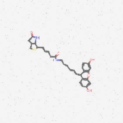 O=C(CCCCC1SCC2CC(=O)NC21)NCCCCCCC1c2ccc(O)cc2Oc2cc(O)ccc21